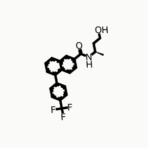 C[C@H](CCO)NC(=O)c1ccc2c(-c3ccc(C(F)(F)F)cc3)cccc2c1